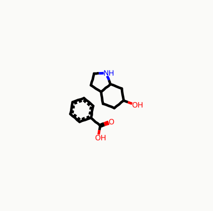 O=C(O)c1ccccc1.OC1CCC2CCNC2C1